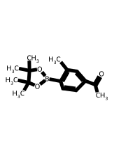 CC(=O)c1ccc(B2OC(C)(C)C(C)(C)O2)c(C)c1